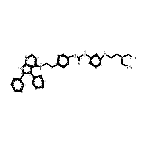 CCN(CC)CCOc1cccc(NC(=O)Nc2ccc(CCNc3ncnc4oc(-c5ccccc5)c(-c5ccccc5)c34)cc2)c1